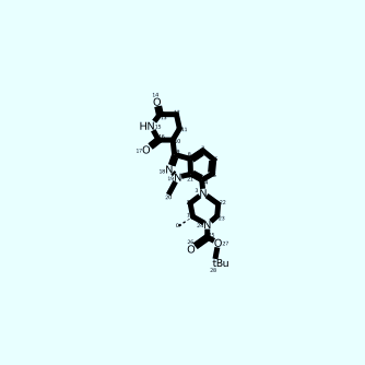 C[C@@H]1CN(c2cccc3c(C4CCC(=O)NC4=O)nn(C)c23)CCN1C(=O)OC(C)(C)C